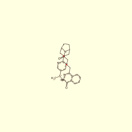 C[S+]([O-])c1cnc(N2CC3CCC(C2)N3C(=O)CCCc2n[nH]c(=O)c3ccccc23)nc1